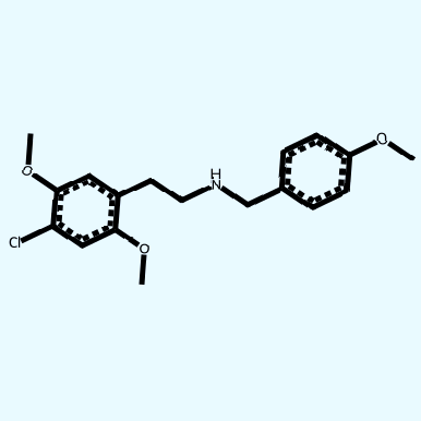 COc1ccc(CNCCc2cc(OC)c(Cl)cc2OC)cc1